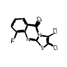 O=c1c2cccc(F)c2nc2sc(Cl)c(Cl)n12